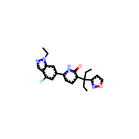 CCn1ncc2c(F)cc(-c3ccc(C(CC)(CC)c4ccon4)c(=O)[nH]3)cc21